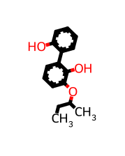 CCC(C)Oc1cccc(-c2ccccc2O)c1O